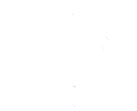 Cc1cc2[nH]nc(C=Cc3cccc(C(N)=O)c3)c2cc1NC(=O)Cc1cccs1